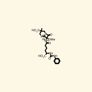 COC1(NC(=O)CCCC(NC(=O)Nc2ccccc2)C(=O)O)C(=O)N2CC(C)(C(=O)O)CS[C@@H]21